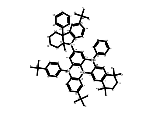 CC(C)(C)c1ccc(N2c3ccc(C(C)(C)C)cc3B3c4cc5c(cc4N(c4ccccc4)c4cc(N6c7ccc(C(C)(C)C)cc7C7(c8ccccc8)CCCCC67C)cc2c43)C(C)(C)CCC5(C)C)cc1